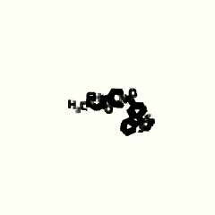 CN(C)Cc1cc2c(o1)CN(C(=O)c1ccc(C3(c4ccccc4)SCCS3)cc1)CC2